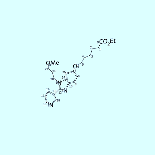 CCOC(=O)CCCCCOc1ccc2nc(-c3cccnc3)n(CCCOC)c2c1